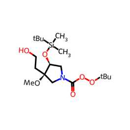 CO[C@]1(CCO)CN(C(=O)OOC(C)(C)C)C[C@@H]1O[Si](C)(C)C(C)(C)C